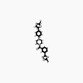 Cc1nc(-c2cccc(C(=O)N3CCN(c4ccc(-c5cnc(C)o5)cc4)CC3)c2)no1